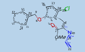 COC(=O)/C(=C\c1cc(OCc2ccccc2)ccc1Cl)N=[N+]=[N-]